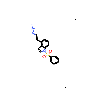 [N-]=[N+]=NCCc1cccc2c1ccn2S(=O)(=O)c1ccccc1